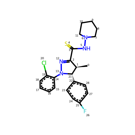 C[C@@H]1C(C(=S)NN2CCCCC2)=NN(c2ccccc2Cl)[C@H]1c1ccc(F)cc1